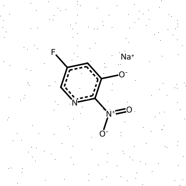 O=[N+]([O-])c1ncc(F)cc1[O-].[Na+]